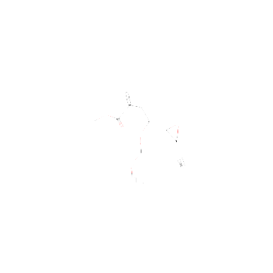 C#C[C@H]1O[C@H]1C(CC(=C)C(=O)OC)OCOC